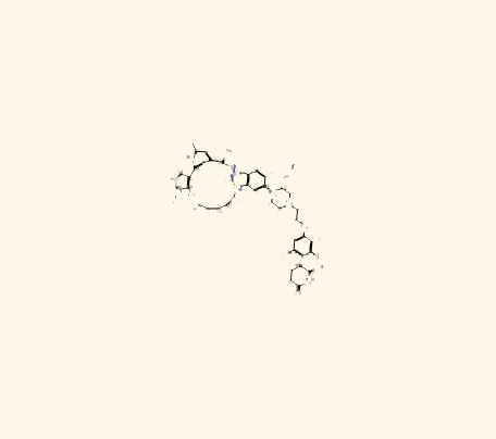 COC[C@@H]1CN(CCNc2cc(F)c([C@H]3CCC(=O)NC3=O)c(F)c2)CCN1c1ccc2c(c1)N1C[C@H](C)CCCOc3c(cnn3C)-c3cc(cc(C)n3)C(=O)/N=C/1N2